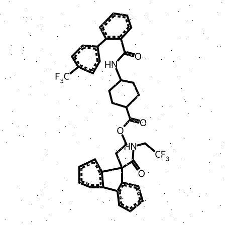 O=C(NC1CCC(C(=O)OCCC2(C(=O)NCC(F)(F)F)c3ccccc3-c3ccccc32)CC1)c1ccccc1-c1ccc(C(F)(F)F)cc1